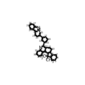 CC1(C)c2ccccc2-c2ccc3c(-c4cccc(-c5ccc6c7ccccc7nn6c5)c4)nc4ccccc4c3c21